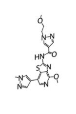 COCCn1cc(C(=O)Nc2nc3c(OC)ncc(-c4cnn(C)c4)c3s2)cn1